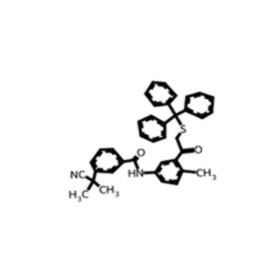 Cc1ccc(NC(=O)c2cccc(C(C)(C)C#N)c2)cc1C(=O)CSC(c1ccccc1)(c1ccccc1)c1ccccc1